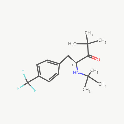 CC(C)(C)N[C@@H](Cc1ccc(C(F)(F)F)cc1)C(=O)C(C)(C)C